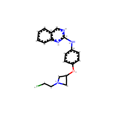 FCCN1CC(Oc2ccc(Nc3ncc4ccccc4n3)cc2)C1